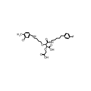 Cc1ccc(NCCCCOC(C(=O)NCCCCCc2ccc(F)cc2)C(OCC(=O)O)C(=O)O)cc1Cl